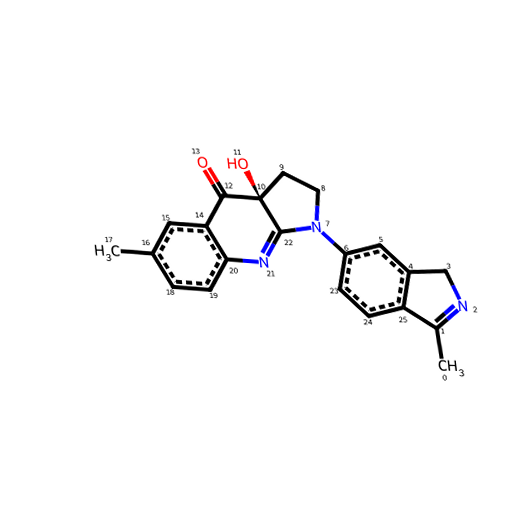 CC1=NCc2cc(N3CC[C@@]4(O)C(=O)c5cc(C)ccc5N=C34)ccc21